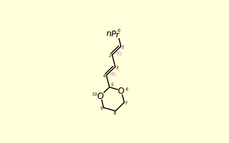 CCC/C=C/C=C/C1OCCCO1